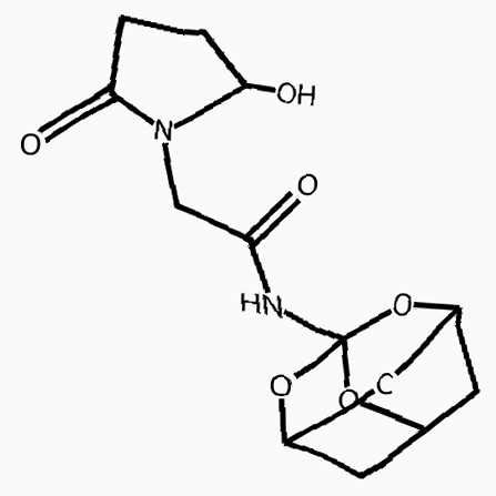 O=C(CN1C(=O)CCC1O)NC12OC3CC(CC(C3)O1)O2